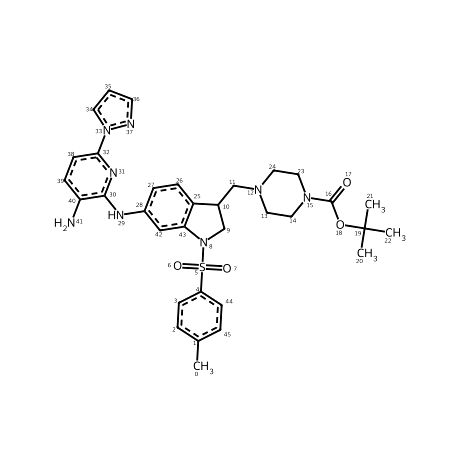 Cc1ccc(S(=O)(=O)N2CC(CN3CCN(C(=O)OC(C)(C)C)CC3)c3ccc(Nc4nc(-n5cccn5)ccc4N)cc32)cc1